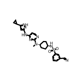 CN(c1nccc(Nc2cc(C3CC3)[nH]n2)n1)[C@H]1CC[C@H](NS(=O)(=O)c2cccc(C#N)c2)CC1